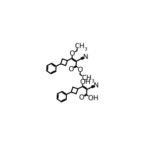 CCOC(=O)C(C#N)=C(OCC)C1CC(c2ccccc2)C1.N#CC(C(=O)O)=C(O)C1CC(c2ccccc2)C1